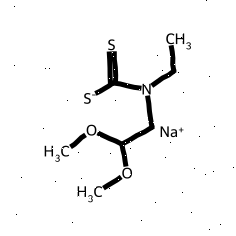 CCN(CC(OC)OC)C(=S)[S-].[Na+]